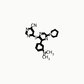 CN(C)c1cccc(-c2nc(N3CCCCC3)cnc2Sc2cc(C#N)ncn2)c1